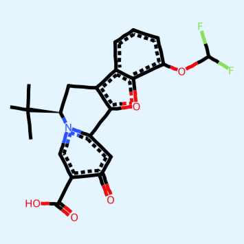 CC(C)(C)[C@H]1Cc2c(oc3c(OC(F)F)cccc23)-c2cc(=O)c(C(=O)O)cn21